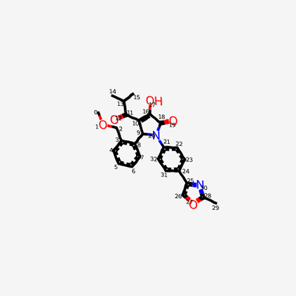 COCc1ccccc1C1C(C(=O)C(C)C)=C(O)C(=O)N1c1ccc(-c2coc(C)n2)cc1